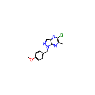 COc1ccc(Cn2ncc3nc(Cl)c(C)nc32)cc1